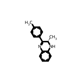 Cc1ccc(C2=Nc3ccccc3N[C@H]2C)cc1